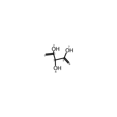 C=C(O)C(O)C(=C)O